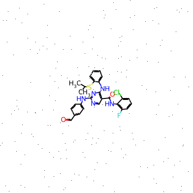 CC(C)Sc1ccccc1Nc1nc(Nc2ccc(C=O)cc2)ncc1C(=O)Nc1c(F)cccc1Cl